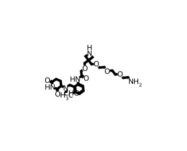 Cc1cccc(NC(=O)COCC2(COCCOCCOCCN)CNC2)c1CN(C=O)C1CCC(=O)NC1=O